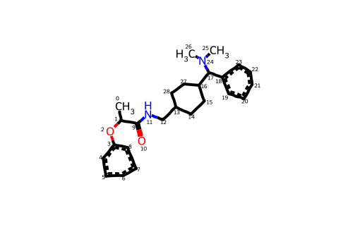 CC(Oc1ccccc1)C(=O)NCC1CCC(C(c2ccccc2)N(C)C)CC1